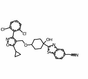 N#Cc1ccc2sc(C3(O)CCC(OCc4c(-c5c(Cl)cccc5Cl)noc4C4CC4)CC3)nc2c1